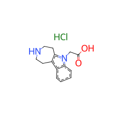 Cl.O=C(O)Cn1c2c(c3ccccc31)CCNCC2